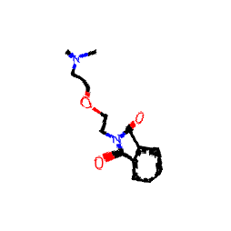 CN(C)CCOCCN1C(=O)c2ccccc2C1=O